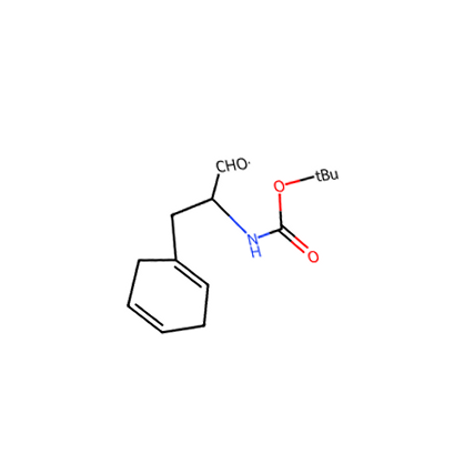 CC(C)(C)OC(=O)NC([C]=O)CC1=CCC=CC1